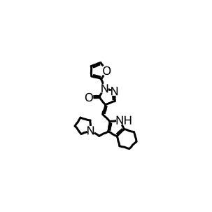 O=C1C(=Cc2[nH]c3c(c2CN2CCCC2)CCCC3)C=NN1c1ccco1